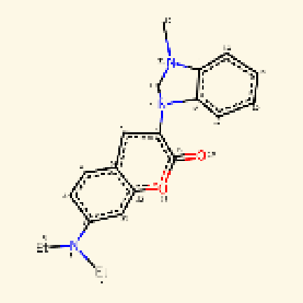 CCN(CC)c1ccc2cc(N3CN(C)c4ccccc43)c(=O)oc2c1